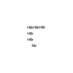 Br.Br.Br.Br.Br.[Nb]